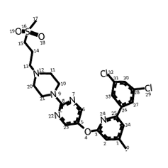 [CH2]c1cc(Oc2cnc(N3CCN(CCCS(C)(=O)=O)CC3)nc2)nc(-c2cc(Cl)cc(Cl)c2)c1